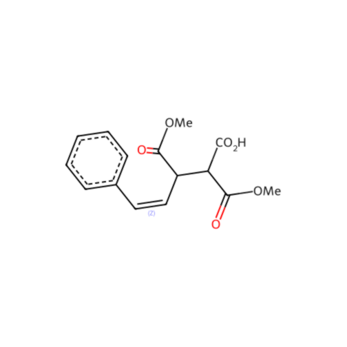 COC(=O)C(/C=C\c1ccccc1)C(C(=O)O)C(=O)OC